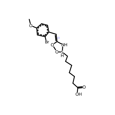 COc1ccc(/C=C2/N[SH](CCCCCCC(=O)O)OO2)c(Br)c1